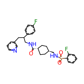 O=C(NCC(Cc1cccnc1)c1ccc(F)cc1)[C@H]1CC[C@H](CNS(=O)(=O)c2ccccc2F)CC1